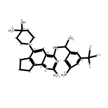 Cc1nc(NC(C)c2cc(N)cc(C(F)(F)F)c2)c2cc(N3CCC(C)(O)CC3)c3c(c2n1)CCC3